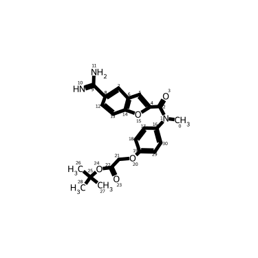 CN(C(=O)c1cc2cc(C(=N)N)ccc2o1)c1ccc(OCC(=O)OC(C)(C)C)cc1